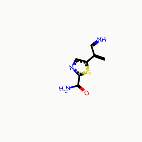 C=C(C=N)c1cnc(C(N)=O)s1